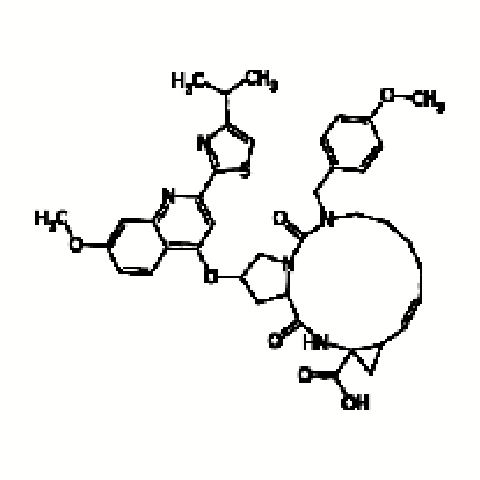 COc1ccc(CN2CCCCC=CC3CC3(C(=O)O)NC(=O)C3CC(Oc4cc(-c5nc(C(C)C)cs5)nc5cc(OC)ccc45)CN3C2=O)cc1